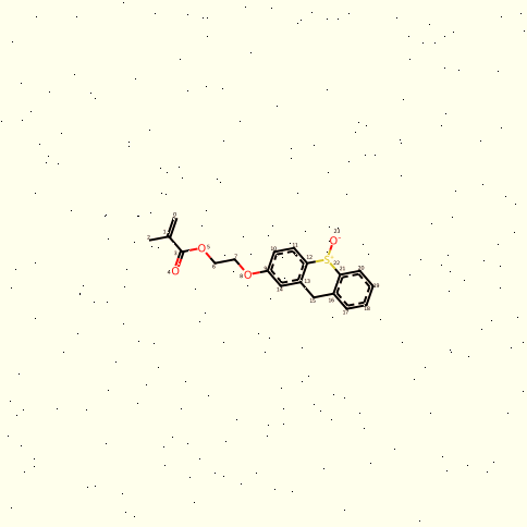 C=C(C)C(=O)OCCOc1ccc2c(c1)Cc1ccccc1[S+]2[O-]